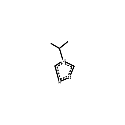 CC(C)[n+]1cnoc1